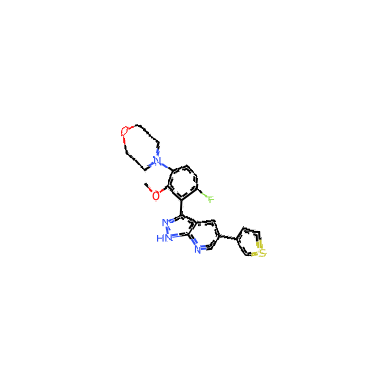 COc1c(N2CCOCC2)ccc(F)c1-c1n[nH]c2ncc(-c3ccsc3)cc12